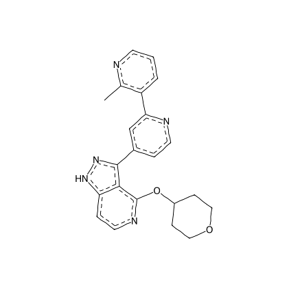 Cc1ncccc1-c1cc(-c2n[nH]c3ccnc(OC4CCOCC4)c23)ccn1